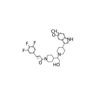 COc1ccc2[nH]cc(C3CCN(C(CO)C4CCN(C(=O)/C=C/c5cc(F)c(F)c(F)c5)CC4)CC3)c2c1